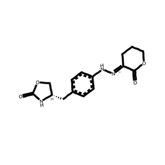 O=C1N[C@@H](Cc2ccc(N/N=C3\CCCOC3=O)cc2)CO1